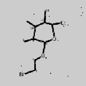 CCC1OC(OCCBr)C(C)C(C)C1C